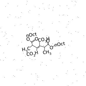 CCCCCCCCOC(=O)C(C)/C(C(=O)O)=C(\C(=O)O)C(C)C(=O)OCCCCCCCC